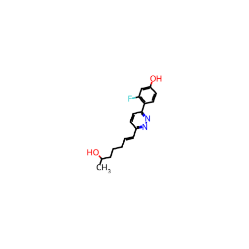 CC(O)CCCC=Cc1ccc(-c2ccc(O)cc2F)nn1